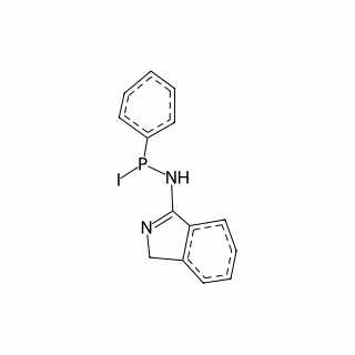 IP(NC1=NCc2ccccc21)c1ccccc1